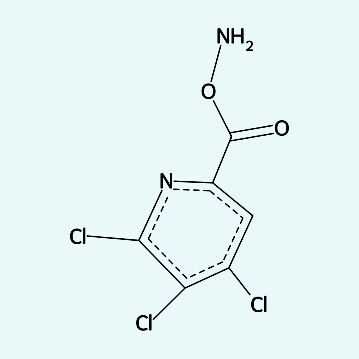 NOC(=O)c1cc(Cl)c(Cl)c(Cl)n1